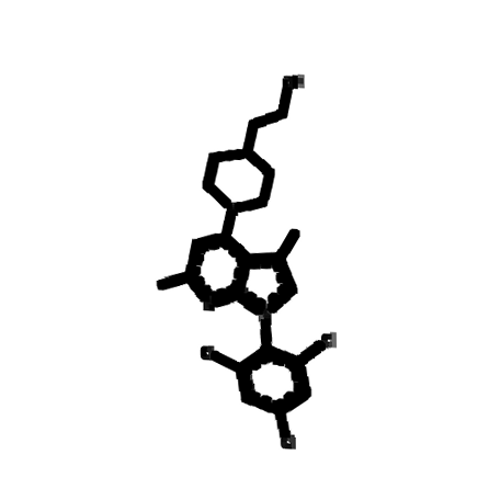 Cc1cc(N2CCC(CCO)CC2)c2c(C)cn(-c3c(Cl)cc(Cl)cc3Cl)c2n1